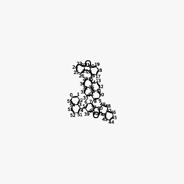 c1ccc2c(-c3cc(-c4ccc5ccc6c(-c7cccc8oc9ccccc9c78)ccc7ccc4c5c76)c4c(c3)oc3c5ccccc5ccc34)cccc2c1